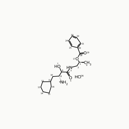 C[C@@H](CNC(=O)C(O)[C@H](N)CC1CCCCC1)OC(=O)c1ccccc1.Cl